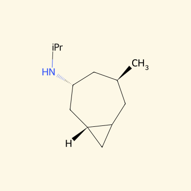 CC(C)N[C@@H]1C[C@@H](C)CC2C[C@@H]2C1